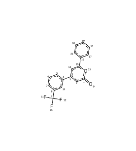 O=c1cc(-c2cccc(C(F)(F)F)c2)cc(-c2ccccc2)o1